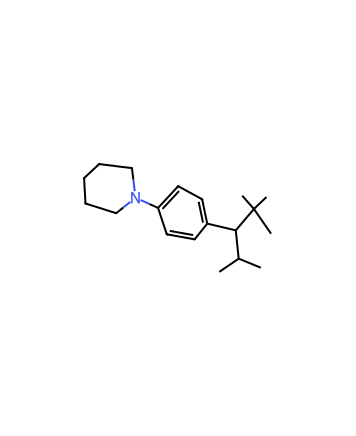 CC(C)C(c1ccc(N2CCCCC2)cc1)C(C)(C)C